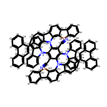 N#Cc1c(-n2c3ccccc3c3ccccc32)c(-n2c3cc(-c4cc5ccccc5c5ccccc45)ccc3c3ccc4c5ccccc5sc4c32)c(C#N)c(-n2c3ccccc3c3ccccc32)c1-n1c2cc(-c3cc4ccccc4c4ccccc34)ccc2c2ccc3c4ccccc4sc3c21